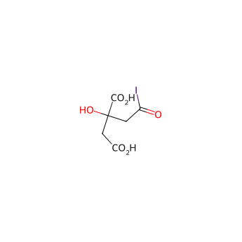 O=C(O)CC(O)(CC(=O)I)C(=O)O